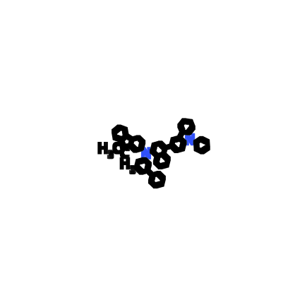 CC1(C)C2=CC(N(c3cccc(-c4ccccc4)c3)c3ccc(-c4ccc5c(c4)c4ccccc4n5-c4ccccc4)c4ccccc34)=CCC2c2ccccc21